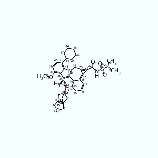 CCN1CC23COCC2(C1)CN(C(=O)[C@@H]1CC=CC2=C4C(=C4C(=O)NS(=O)(=O)C(C)C)Cn4c(cc5c(OC)ccc(C6CCCCC6)c54)C21)C3